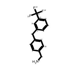 NCc1c[c]c(Cc2cccc(C(F)(F)F)c2)cc1